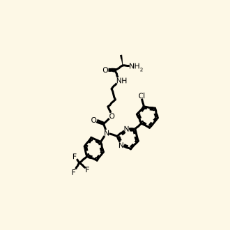 C[C@@H](N)C(=O)NCCCOC(=O)N(c1ccc(C(F)(F)F)cc1)c1nccc(-c2cccc(Cl)c2)n1